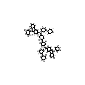 c1ccc(-c2cccc(C(c3ccc(-c4ccc(N(c5cccc(-c6ccccc6)c5)c5ccc6c(c5)c5ccccc5n6-c5ccccc5)cc4)cc3)c3ccc4c(c3)c3ccccc3n4-c3ccccc3)c2)cc1